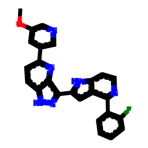 COc1cncc(-c2ccc3[nH]nc(-c4cc5c(-c6ccccc6F)nccc5[nH]4)c3n2)c1